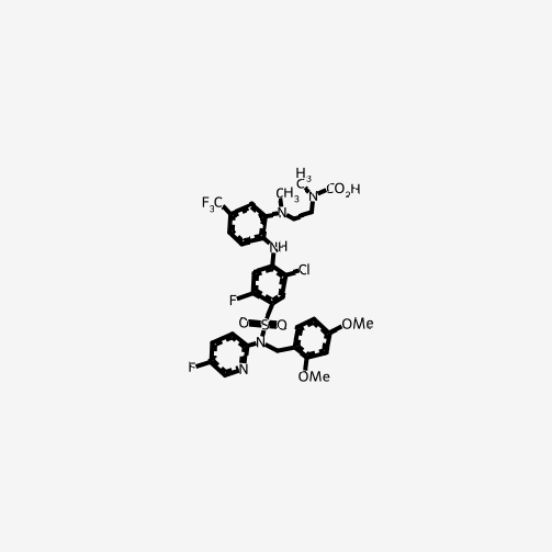 COc1ccc(CN(c2ccc(F)cn2)S(=O)(=O)c2cc(Cl)c(Nc3ccc(C(F)(F)F)cc3N(C)CCN(C)C(=O)O)cc2F)c(OC)c1